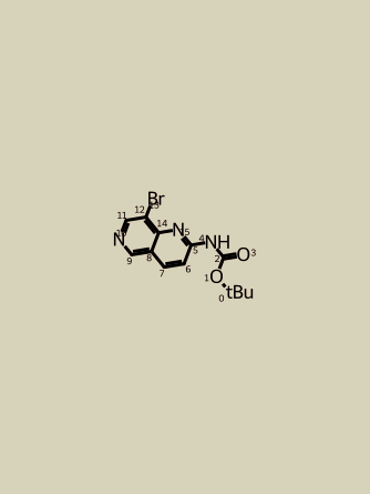 CC(C)(C)OC(=O)Nc1ccc2cncc(Br)c2n1